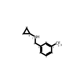 FC(F)(F)c1cccc(CNC2CC2)c1